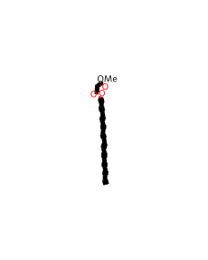 C#CC#CC#CC#CC#CC#CC#CC#CC#CC#COC(=O)CC(=O)OC